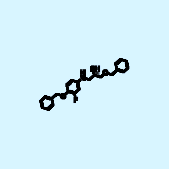 O[C@H](CNc1ccc(OCc2ccccc2)c(F)c1)COCc1ccccc1